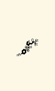 CCCc1ccc(S(=O)(=O)Nc2ccsc2CC(=O)N(CC)CC)cc1